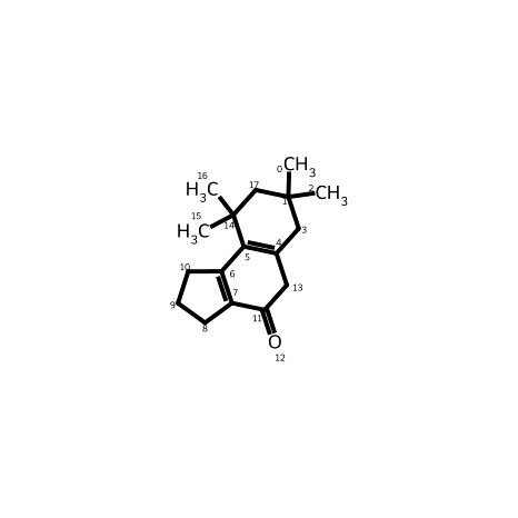 CC1(C)CC2=C(C3=C(CCC3)C(=O)C2)C(C)(C)C1